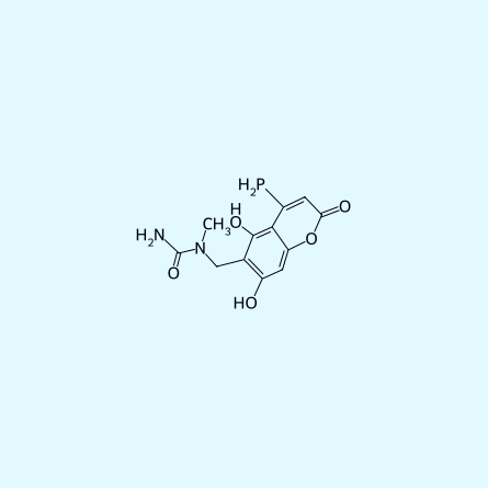 CN(Cc1c(O)cc2oc(=O)cc(P)c2c1O)C(N)=O